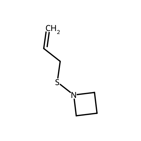 C=CCSN1CCC1